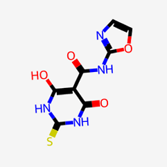 O=C(Nc1ncco1)c1c(O)[nH]c(=S)[nH]c1=O